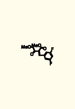 COCC(=O)C(=Cc1cc(F)cc(F)c1)C(=O)OC